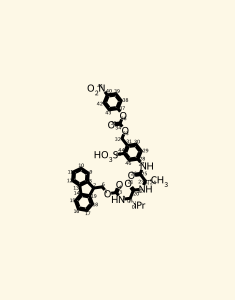 CC(C)[C@H](NC(=O)OCC1c2ccccc2-c2ccccc21)C(=O)N[C@@H](C)C(=O)Nc1ccc(COC(=O)Oc2ccc([N+](=O)[O-])cc2)c(S(=O)(=O)O)c1